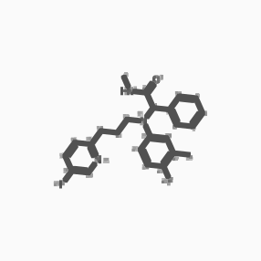 CNC(=O)C(c1ccccc1)N(CCCc1ccc(F)cn1)c1ccc(F)c(C)c1